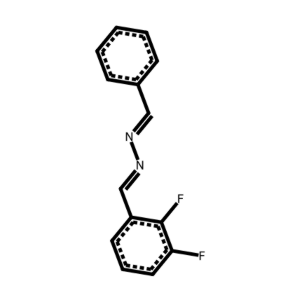 Fc1cccc(C=NN=Cc2ccccc2)c1F